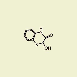 O=C1Nc2ccccc2SC1O